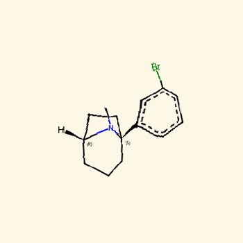 CN1[C@@H]2CCC[C@@]1(c1cccc(Br)c1)CC2